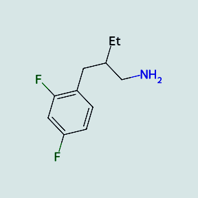 CCC(CN)Cc1ccc(F)cc1F